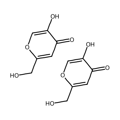 O=c1cc(CO)occ1O.O=c1cc(CO)occ1O